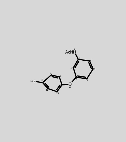 CC(=O)Nc1cccc(Oc2ccc(F)cc2)c1